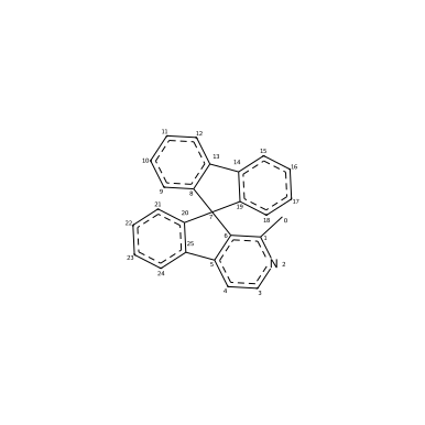 Cc1nccc2c1C1(c3ccccc3-c3ccccc31)c1ccccc1-2